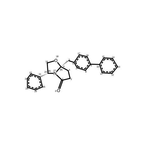 O=C1CC[C@]2(Cc3ccc(-c4ccccc4)cc3)OC[C@@H](c3ccccc3)N12